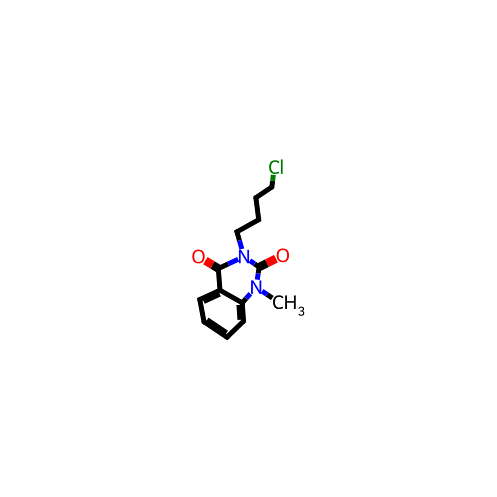 Cn1c(=O)n(CCCCCl)c(=O)c2ccccc21